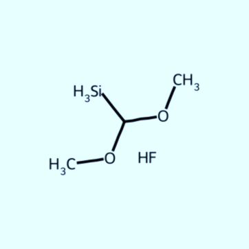 COC([SiH3])OC.F